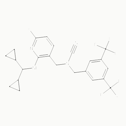 N#CN(Cc1cc(C(F)(F)F)cc(C(F)(F)F)c1)Cc1ccc(F)nc1NC(C1CC1)C1CC1